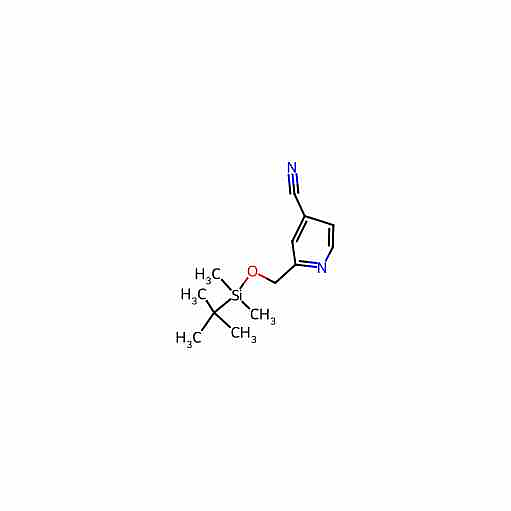 CC(C)(C)[Si](C)(C)OCc1cc(C#N)ccn1